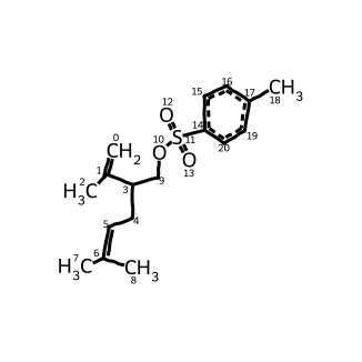 C=C(C)C(CC=C(C)C)COS(=O)(=O)c1ccc(C)cc1